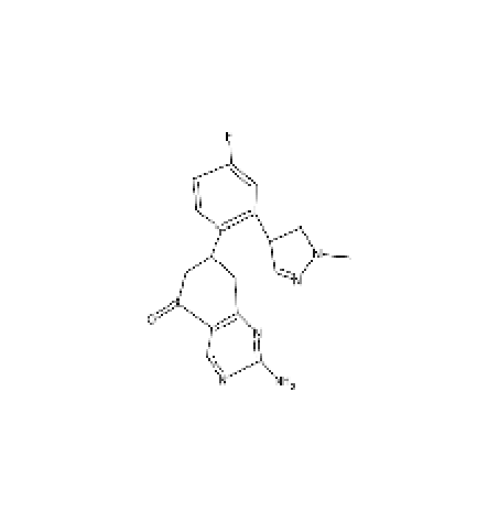 CN1CC(c2cc(F)ccc2C2CC(=O)c3cnc(N)nc3C2)C=N1